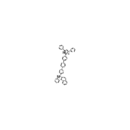 c1ccc(-c2cc(-c3ccccc3)nc(-c3ccc(-c4ccc(-c5ccc(-c6nc7ccccc7c7c6ccc6ccccc67)cc5)cc4)cc3)n2)cc1